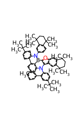 Cc1cc2c3c(c1)N(c1ccc(C(C)(C)C)cc1-c1ccccc1)c1c(oc4cc5c(cc14)C(C)(C)CCC5(C)C)B3N(c1ccc3c(c1)C(C)(C)CCC3(C)C)c1cc(C(C)(C)C)ccc1-2